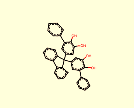 Oc1cc(C2(c3cc(O)c(O)c(-c4ccccc4)c3)c3ccccc3-c3ccccc32)cc(-c2ccccc2)c1O